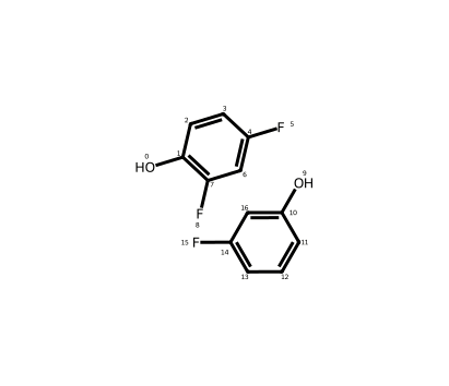 Oc1ccc(F)cc1F.Oc1cccc(F)c1